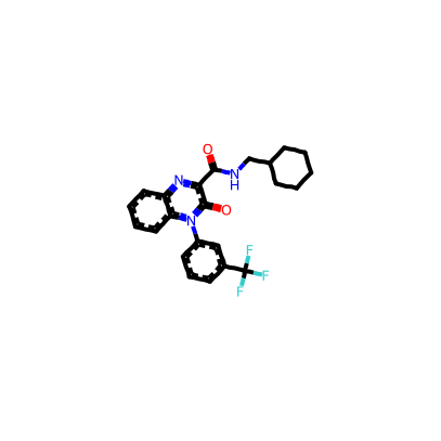 O=C(NCC1CCCCC1)c1nc2ccccc2n(-c2cccc(C(F)(F)F)c2)c1=O